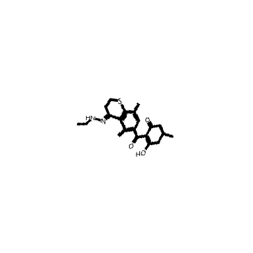 CCNN=C1CCSc2c(C)cc(C(=O)C3=C(O)CC(C)CC3=O)c(C)c21